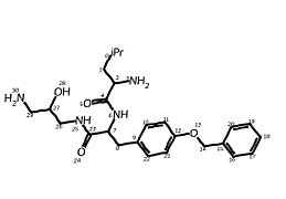 CC(C)CC(N)C(=O)NC(Cc1ccc(OCc2ccccc2)cc1)C(=O)NCC(O)CN